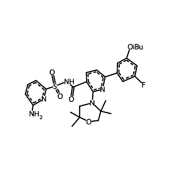 CC(C)COc1cc(F)cc(-c2ccc(C(=O)NS(=O)(=O)c3cccc(N)n3)c(N3CC(C)(C)OCC3(C)C)n2)c1